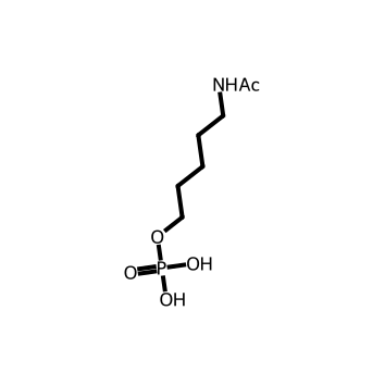 CC(=O)NCCCCCOP(=O)(O)O